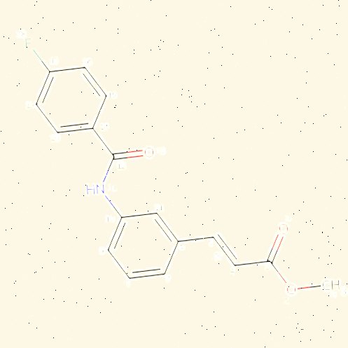 COC(=O)/C=C/c1cccc(NC(=O)c2ccc(F)cc2)c1